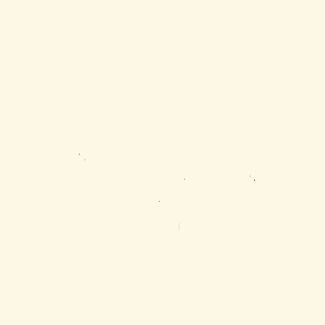 O=S(=O)(c1ccccn1)C(F)(F)C1(O)CCNCC1